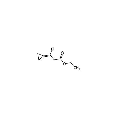 CCOC(=O)CC(Cl)=C1CC1